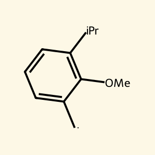 [CH2]c1cccc(C(C)C)c1OC